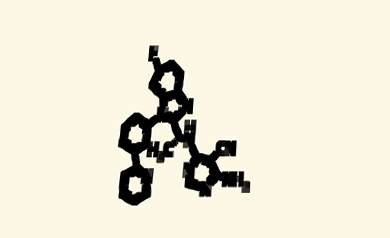 C[C@@H](Nc1ncnc(N)c1C#N)c1nc2ccc(F)cc2n1-c1cccc(-c2ccccn2)c1